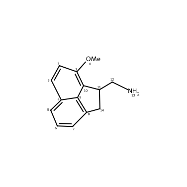 COc1ccc2cccc3c2c1C(CN)C3